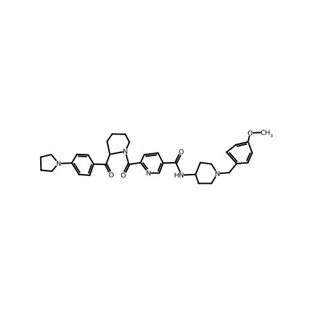 COc1ccc(CN2CCC(NC(=O)c3ccc(C(=O)N4CCCCC4C(=O)c4ccc(N5CCCC5)cc4)nc3)CC2)cc1